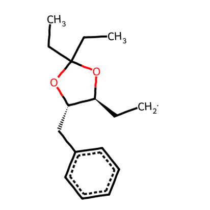 [CH2]C[C@@H]1OC(CC)(CC)O[C@H]1Cc1ccccc1